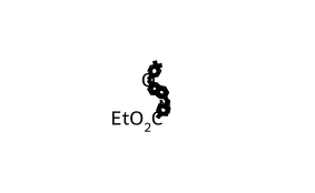 CCOC(=O)C1CCN(Cc2ccc3cc(OC4CCC(C)(C)CC4)ccc3c2)CC1